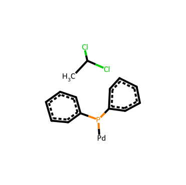 CC(Cl)Cl.[Pd][P](c1ccccc1)c1ccccc1